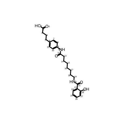 O=C(O)CCCc1ccc(NC(=O)CCCCCCCNC(=O)c2ccccc2O)cc1